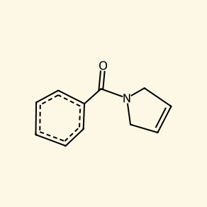 O=C(c1ccccc1)N1CC=CC1